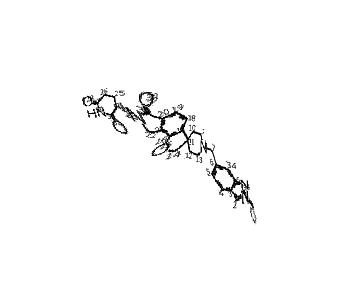 Cn1cc2ccc(CN3CCC4(CC3)COc3c4ccc4c3CN([C@H]3CCC(=O)NC3=O)C4=O)cc2n1